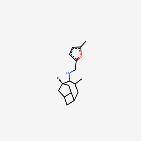 Cc1ccc(CNC2C(C)CC3CC4C[C@H]2CC34)o1